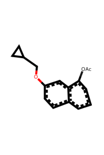 CC(=O)Oc1cccc2ccc(OCC3CC3)cc12